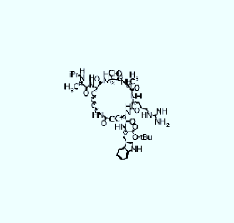 CC(C)N[C@@H](C)C(=O)N[C@H]1CCCCNC(=O)CC[C@@H](C(=O)N[C@@H](Cc2c[nH]c3ccccc23)C(=O)OC(C)(C)C)NC(=O)[C@H](CCCNC(=N)N)NC(=O)[C@H](C)NC(=O)[C@H](C)NC1=O